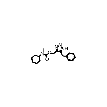 O=C(NC1CCCCC1)OCc1nn[nH]c1Cc1ccccc1